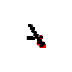 CCCCCCCCCC(=O)CCS(=O)(=O)O.[NaH]